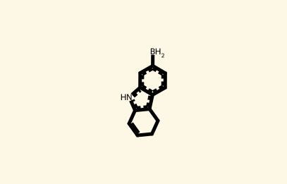 Bc1ccc2c3c([nH]c2c1)C=CCC3